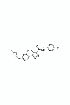 CC1CN(Cc2ccc3c(c2)CCc2c(C(=O)NCc4ccc(Cl)cc4)noc2-3)C1